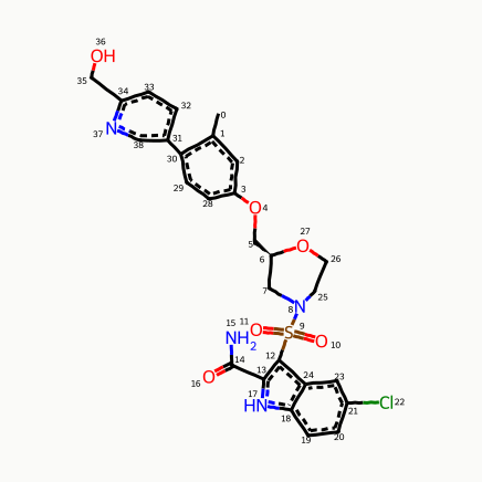 Cc1cc(OC[C@@H]2CN(S(=O)(=O)c3c(C(N)=O)[nH]c4ccc(Cl)cc34)CCO2)ccc1-c1ccc(CO)nc1